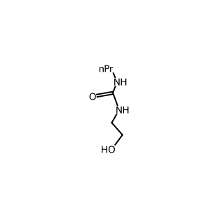 CCCNC(=O)NCCO